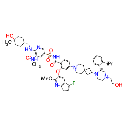 COc1nc2c(cc1Oc1cc(N3CCC4(CC3)CC(N3CCN(CCO)C[C@H]3c3ccccc3C(C)C)C4)ccc1C(=O)NS(=O)(=O)c1cnc(NC[C@H]3CC[C@](C)(O)CC3)c([NH+](C)[O-])c1)C(F)=CC2